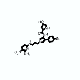 CCc1ccc(-c2cn(CCCNc3ccc([N+](=O)[O-])c(N)n3)cc2NC(=O)C2CC(O)CN2)cc1